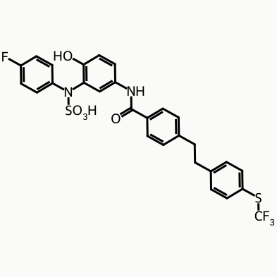 O=C(Nc1ccc(O)c(N(c2ccc(F)cc2)S(=O)(=O)O)c1)c1ccc(CCc2ccc(SC(F)(F)F)cc2)cc1